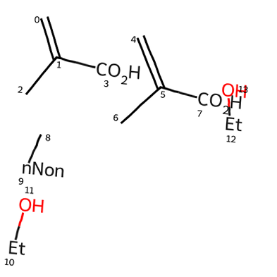 C=C(C)C(=O)O.C=C(C)C(=O)O.CCCCCCCCCC.CCO.CCO